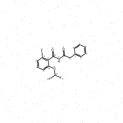 O=C(Cc1ccccc1)NC(=O)c1c(F)cccc1OC(F)F